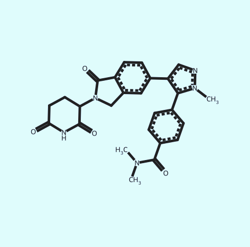 CN(C)C(=O)c1ccc(-c2c(-c3ccc4c(c3)CN(C3CCC(=O)NC3=O)C4=O)cnn2C)cc1